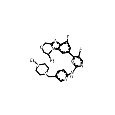 CCC1COCc2nc3c(F)cc(-c4nc(Nc5ccc(CN6CCN(CC)CC6)cn5)ncc4F)cc3n21